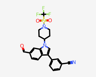 N#Cc1cccc(-c2cn(C3CCN(S(=O)(=O)C(F)(F)F)CC3)c3cc(C=O)ccc23)c1